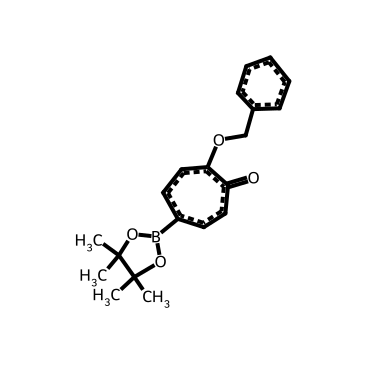 CC1(C)OB(c2ccc(OCc3ccccc3)c(=O)cc2)OC1(C)C